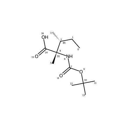 CC[C@@H](C)[C@](C)(NC(=O)OC(C)(C)C)C(=O)O